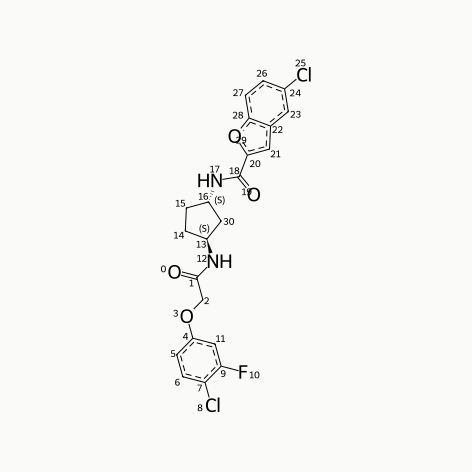 O=C(COc1ccc(Cl)c(F)c1)N[C@H]1CC[C@H](NC(=O)c2cc3cc(Cl)ccc3o2)C1